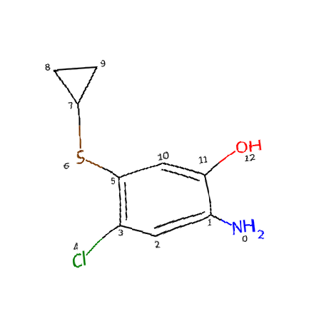 Nc1cc(Cl)c(SC2CC2)cc1O